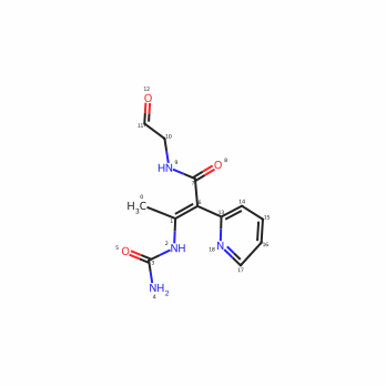 C/C(NC(N)=O)=C(\C(=O)NC[C]=O)c1ccccn1